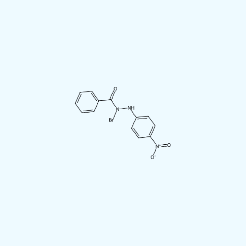 O=C(c1ccccc1)N(Br)Nc1ccc([N+](=O)[O-])cc1